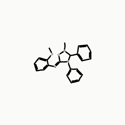 COc1ccccc1N=C1ON(C)C(c2ccccc2)N1c1ccccc1